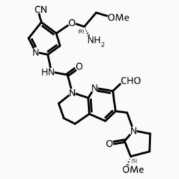 COC[C@H](N)Oc1cc(NC(=O)N2CCCc3cc(CN4CC[C@H](OC)C4=O)c(C=O)nc32)ncc1C#N